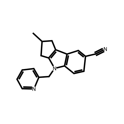 CC1Cc2c(n(Cc3ccccn3)c3ccc(C#N)cc23)C1